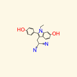 CCn1c(-c2ccc(O)cc2)c(CC(C#N)C#N)c2ccc(O)cc21